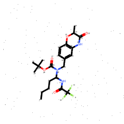 CCCCC(NC(=O)C(F)(F)F)N(Cc1ccc2c(c1)NC(=O)C(C)O2)C(=O)OC(C)(C)C